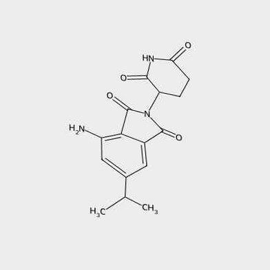 CC(C)c1cc(N)c2c(c1)C(=O)N(C1CCC(=O)NC1=O)C2=O